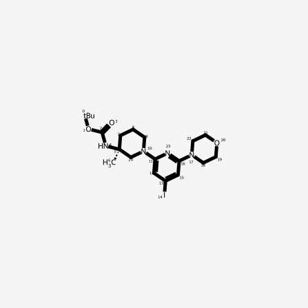 CC(C)(C)OC(=O)N[C@@]1(C)CCCN(c2cc(I)cc(N3CCOCC3)n2)C1